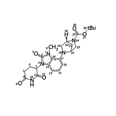 Cn1c(=O)n(C2CCC(=O)NC2=O)c2cccc(N3C[C@H]4CC3CN4C(=O)OC(C)(C)C)c21